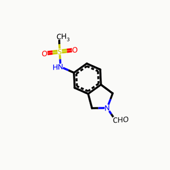 CS(=O)(=O)Nc1ccc2c(c1)CN(C=O)C2